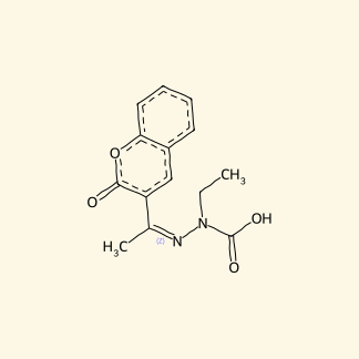 CCN(/N=C(/C)c1cc2ccccc2oc1=O)C(=O)O